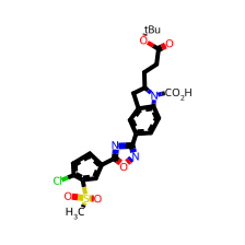 CC(C)(C)OC(=O)CCC1Cc2cc(-c3noc(-c4ccc(Cl)c(S(C)(=O)=O)c4)n3)ccc2N1C(=O)O